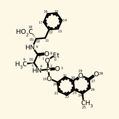 CCOP(=O)(N[C@@H](C)C(=O)N[C@@H](Cc1ccccc1)C(=O)O)Oc1ccc2c(C)cc(=O)oc2c1